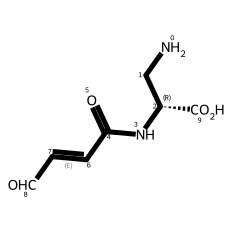 NC[C@@H](NC(=O)/C=C/C=O)C(=O)O